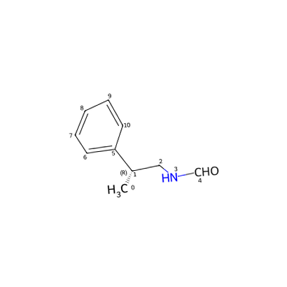 C[C@@H](CNC=O)c1ccccc1